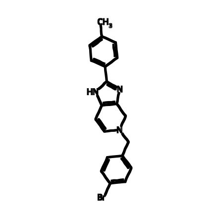 Cc1ccc(-c2nc3c([nH]2)C=CN(Cc2ccc(Br)cc2)C3)cc1